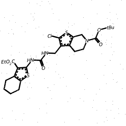 CCOC(=O)c1c(NC(=O)NCc2c(Cl)sc3c2CCN(C(=O)OC(C)(C)C)C3)sc2c1CCCC2